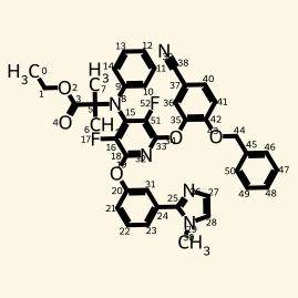 CCOC(=O)C(C)(C)N(c1ccccc1)c1c(F)c(Oc2cccc(-c3nccn3C)c2)nc(Oc2cc(C#N)ccc2OCc2ccccc2)c1F